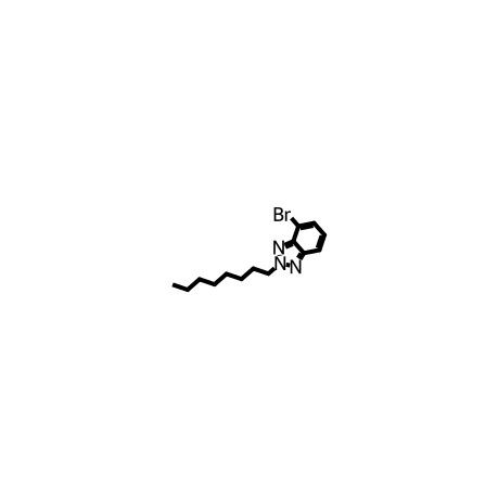 CCCCCCCCn1nc2cccc(Br)c2n1